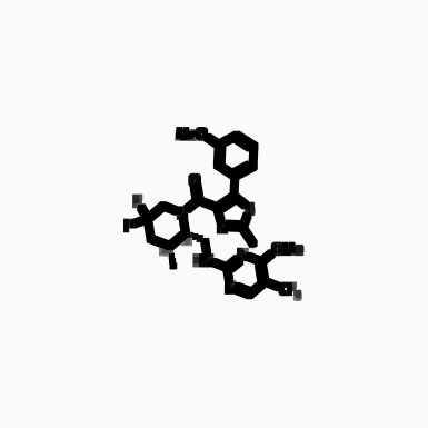 COc1cccc(-c2sc(C)nc2C(=O)N2CC(F)(F)C[C@@H](C)[C@H]2CNc2ncc(C(F)(F)F)c(OC)n2)c1